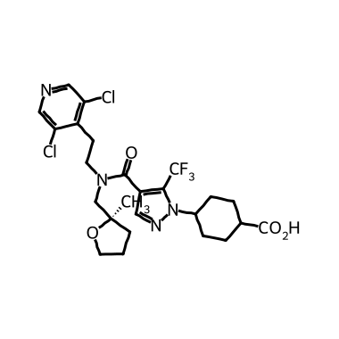 C[C@]1(CN(CCc2c(Cl)cncc2Cl)C(=O)c2cnn(C3CCC(C(=O)O)CC3)c2C(F)(F)F)CCCO1